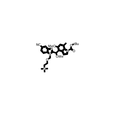 COc1cc(C)c2c(ccn2C(=O)OC(C)(C)C)c1C(OC)c1nc2cc(C#N)ccc2n1COCC[Si](C)(C)C